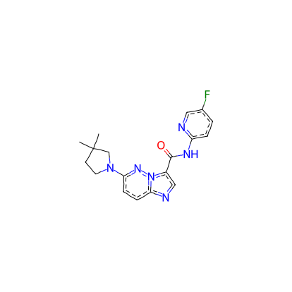 CC1(C)CCN(c2ccc3ncc(C(=O)Nc4ccc(F)cn4)n3n2)C1